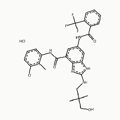 Cc1c(Cl)cccc1NC(=O)c1cc(NC(=O)c2ccccc2C(F)(F)F)cc2[nH]c(NCC(C)(C)CO)nc12.Cl